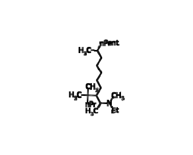 CCCCCC(C)CCCCCC(C(C)N(C)CC)C(C)(C)CCC